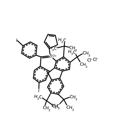 CC(C)(C)c1cc2c(cc1C(C)(C)C)-c1cc(C(C)(C)C)c(C(C)(C)C)[c]([Zr+2]([C]3=CC=CC3)=[C](c3ccc(I)cc3)c3ccc(I)cc3)c1C2.[Cl-].[Cl-]